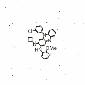 COc1ncccc1Nc1cc2nc3ccccc3n(-c3cccc(Cl)c3)c-2c/c1=N\C1CCC1